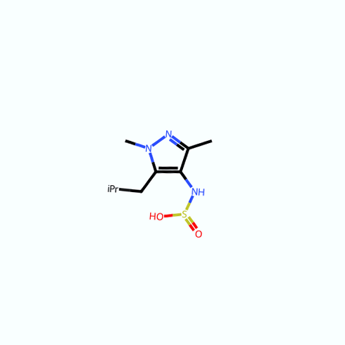 Cc1nn(C)c(CC(C)C)c1NS(=O)O